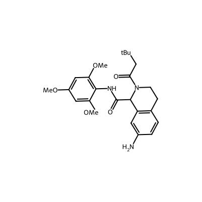 COc1cc(OC)c(NC(=O)C2c3cc(N)ccc3CCN2C(=O)CC(C)(C)C)c(OC)c1